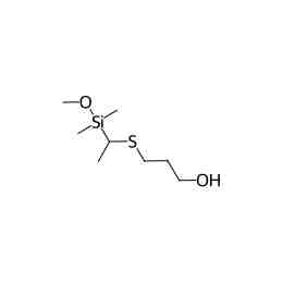 CO[Si](C)(C)C(C)SCCCO